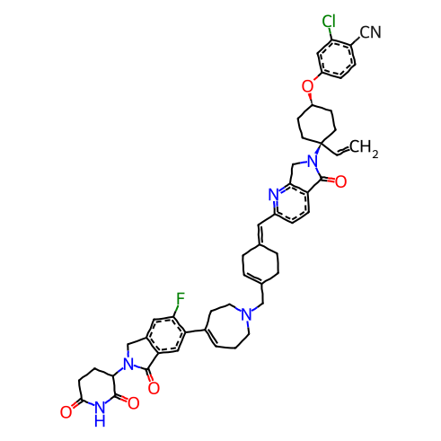 C=C[C@]1(N2Cc3nc(/C=C4/CC=C(CN5CCC=C(c6cc7c(cc6F)CN(C6CCC(=O)NC6=O)C7=O)CC5)CC4)ccc3C2=O)CC[C@@H](Oc2ccc(C#N)c(Cl)c2)CC1